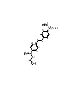 CCCCN(CCCC)c1ccc(/C=C/c2ccc(N(CC)CCO)cc2)cc1